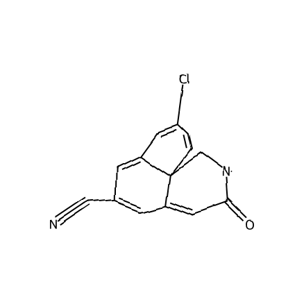 N#CC1=CC2=CC(=O)[N]CC23C=CC(Cl)=CC3=C1